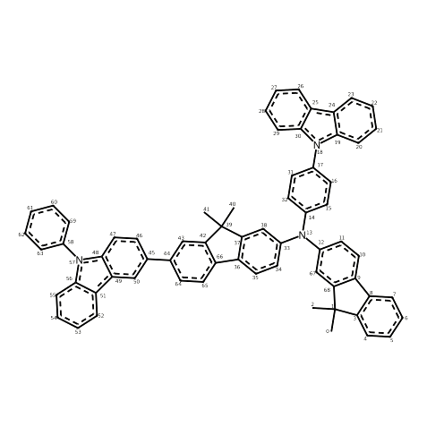 CC1(C)c2ccccc2-c2ccc(N(c3ccc(-n4c5ccccc5c5ccccc54)cc3)c3ccc4c(c3)C(C)(C)c3cc(-c5ccc6c(c5)c5ccccc5n6-c5ccccc5)ccc3-4)cc21